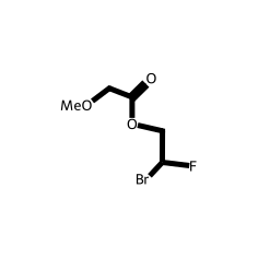 COCC(=O)OCC(F)Br